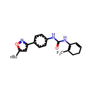 CCCCc1cc(-c2ccc(NC(=O)NC3=C(C(F)(F)F)CCC=C3)cc2)no1